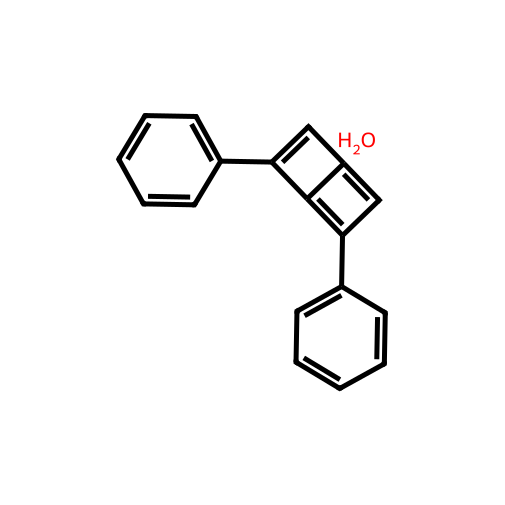 O.c1ccc(-c2cc3cc(-c4ccccc4)c2-3)cc1